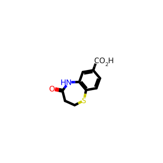 O=C1CCSc2ccc(C(=O)O)cc2N1